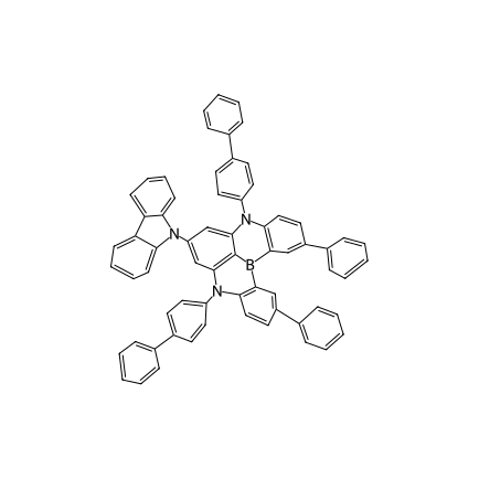 c1ccc(-c2ccc(N3c4ccc(-c5ccccc5)cc4B4c5cc(-c6ccccc6)ccc5N(c5ccc(-c6ccccc6)cc5)c5cc(-n6c7ccccc7c7ccccc76)cc3c54)cc2)cc1